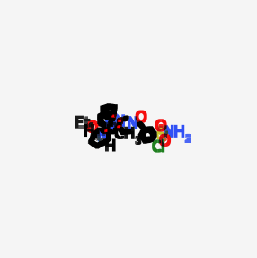 CCOc1cccc(C2(CCN3[C@@H]4CC[C@H]3C[C@@H](n3c(C)nc5ccccc53)C4)CCN(C(=O)c3ccc(Cl)c(S(N)(=O)=O)c3)CC2)c1